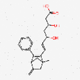 C=C1CC2(C)CC1C(c1ccccc1)=C2/C=C/C(O)CC(O)CC(=O)O